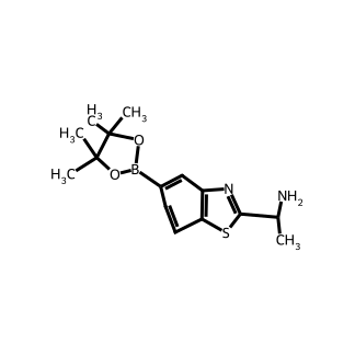 CC(N)c1nc2cc(B3OC(C)(C)C(C)(C)O3)ccc2s1